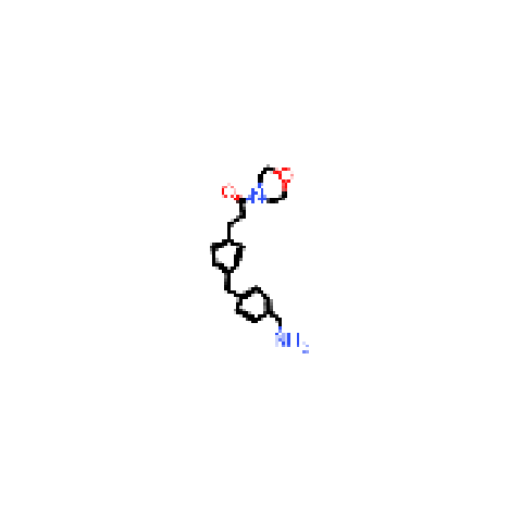 NCc1ccc(Cc2ccc(CCC(=O)N3CCOCC3)cc2)cc1